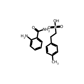 Cc1ccc(CCS(=O)(=O)O)cc1.NC(=O)c1ccccc1N